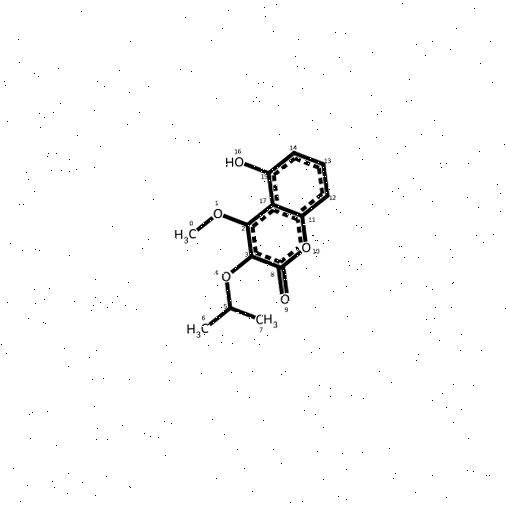 COc1c(OC(C)C)c(=O)oc2cccc(O)c12